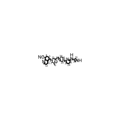 CC1CN(c2ccc(C#N)c3ncccc23)CC(CN2CCN(c3cccc(NC4CNC4)n3)CC2)O1